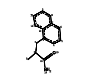 CC(Cc1cccc2cccnc12)C(N)=O